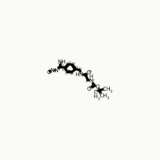 CC(C)(C)OC(=O)NCC(=O)NCc1ccc(/C(N)=N/N=O)cc1